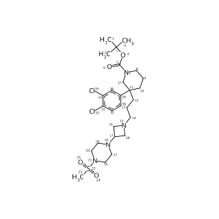 CC(C)(C)OC(=O)N1CCCC(CCCN2CC(N3CCN(S(C)(=O)=O)CC3)C2)(c2ccc(Cl)c(Cl)c2)C1